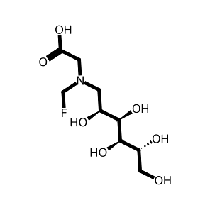 O=C(O)CN(CF)C[C@H](O)[C@@H](O)[C@H](O)[C@H](O)CO